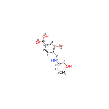 CC[C@@H](CO)NCc1ccc(C(=O)O)cc1Br